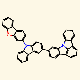 c1ccc2c(c1)oc1cc(-n3c4ccccc4c4cc(-c5ccc6c7cccc8c9ccccc9n(c6c5)c87)ccc43)ccc12